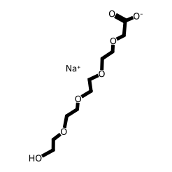 O=C([O-])COCCOCCOCCOCCO.[Na+]